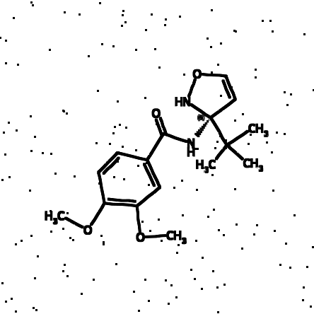 COc1ccc(C(=O)N[C@@]2(C(C)(C)C)C=CON2)cc1OC